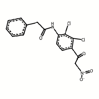 O=C(Cc1ccccc1)Nc1ccc(C(=O)C[N+](=O)[O-])c(Cl)c1Cl